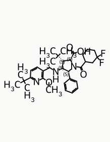 COc1nc(C(C)(C)C)ccc1CN[C@H]1[C@H](C(C)(C)C)[C@@H](C(=O)O)N(C(=O)C2CCCC(F)(F)C2)[C@H]1c1ccccc1